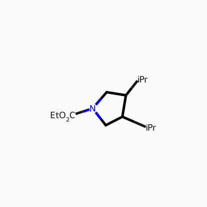 CCOC(=O)N1CC(C(C)C)C(C(C)C)C1